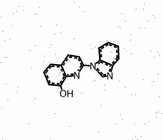 Oc1cccc2ccc(-n3cnc4ccccc43)nc12